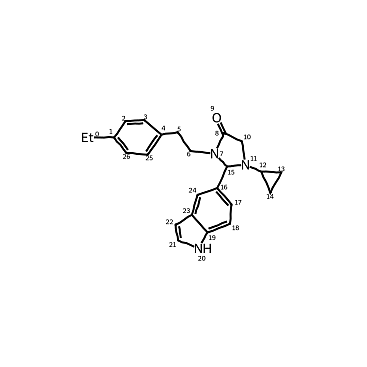 CCc1ccc(CCN2C(=O)CN(C3CC3)C2c2ccc3[nH]ccc3c2)cc1